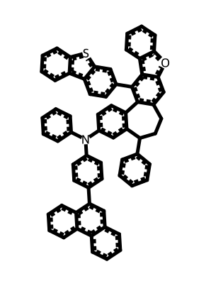 c1ccc(C2CCc3cc4oc5ccccc5c4c(-c4ccc5c(c4)sc4ccccc45)c3-c3ccc(N(c4ccccc4)c4ccc(-c5cc6ccccc6c6ccccc56)cc4)cc32)cc1